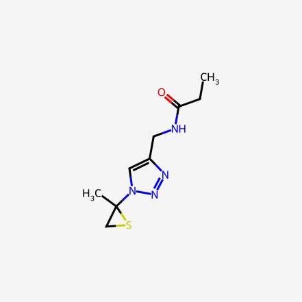 CCC(=O)NCc1cn(C2(C)CS2)nn1